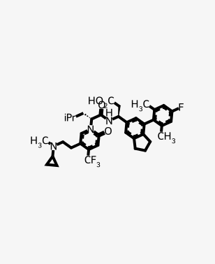 Cc1cc(F)cc(C)c1-c1cc([C@H](CC(=O)O)NC(=O)[C@@H](CC(C)C)n2cc(CCN(C)C3CC3)c(C(F)(F)F)cc2=O)cc2c1CCC2